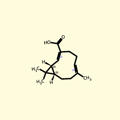 C/C1=C\CC/C(C(=O)O)=C/[C@@H]2[C@H](CC1)C2(C)C